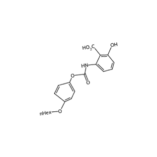 CCCCCCOc1ccc(OC(=O)Nc2cccc(O)c2C(=O)O)cc1